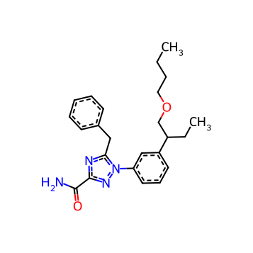 CCCCOCC(CC)c1cccc(-n2nc(C(N)=O)nc2Cc2ccccc2)c1